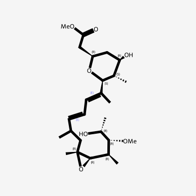 COC(=O)C[C@H]1C[C@@H](O)[C@H](C)[C@@H](/C(C)=C/C=C/C(C)C[C@@]2(C)O[C@@H]2[C@H](C)[C@@H](OC)[C@@H](C)O)O1